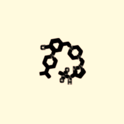 CC(C)C1CCN(c2cc(CN3CCN(Cn4ccc(NS(C)(=O)=O)n4)CC3)ccc2Cl)CC1